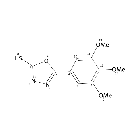 COc1cc(-c2nnc(S)o2)cc(OC)c1OC